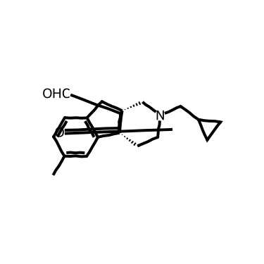 Cc1ccc2c(c1)[C@]13CCN(CC4CC4)C[C@@]1(C2)CC(C=O)C(=O)C3